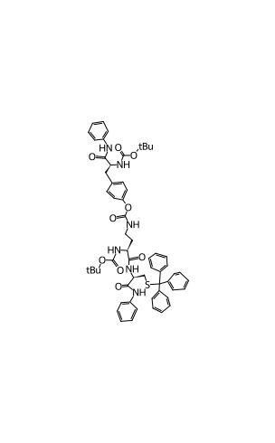 CC(C)(C)OC(=O)N[C@@H](Cc1ccc(OC(=O)NCC[C@H](NC(=O)OC(C)(C)C)C(=O)N[C@@H](CSC(c2ccccc2)(c2ccccc2)c2ccccc2)C(=O)Nc2ccccc2)cc1)C(=O)Nc1ccccc1